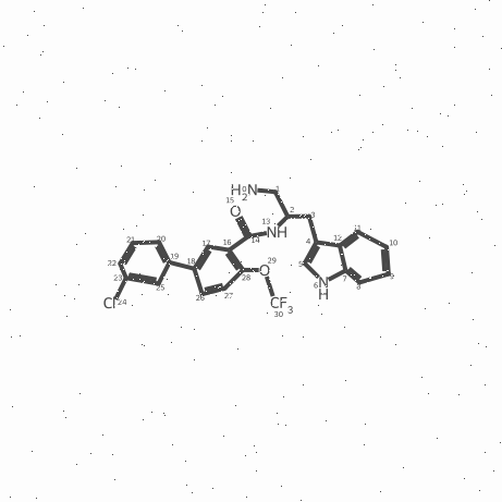 NCC(Cc1c[nH]c2ccccc12)NC(=O)c1cc(-c2cccc(Cl)c2)ccc1OC(F)(F)F